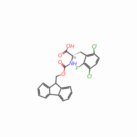 O=C(N[C@@H](Cc1c(Cl)ccc(Cl)c1F)C(=O)O)OCC1c2ccccc2-c2ccccc21